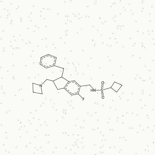 O=S(=O)(NCc1cc2c(cc1F)CC(CN1CCC1)C2Cc1ccccc1)C1CCC1